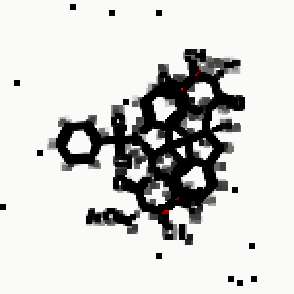 CC[C@]12SS[C@@]3(C[C@]4([C@]56C[C@@]78SS[C@@](COC(C)=O)(C(=O)N7[C@H]5N(S(=O)(=O)c5ccccc5)c5ccccc56)N(C)C8=O)c5ccccc5C[C@@H]4N3C1=O)C(=O)N2C